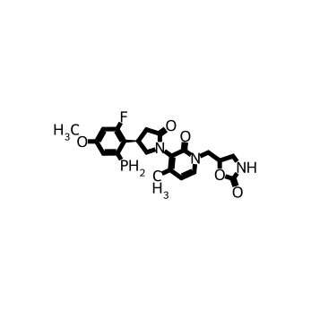 COc1cc(F)c([C@H]2CC(=O)N(c3c(C)ccn(CC4CNC(=O)O4)c3=O)C2)c(P)c1